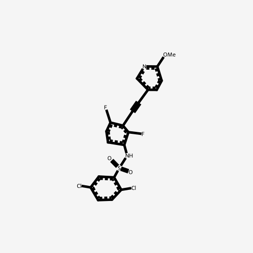 COc1ccc(C#Cc2c(F)ccc(NS(=O)(=O)c3cc(Cl)ccc3Cl)c2F)cn1